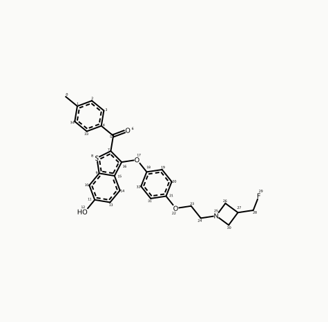 Cc1ccc(C(=O)c2sc3cc(O)ccc3c2Oc2ccc(OCCN3CC(CF)C3)cc2)cc1